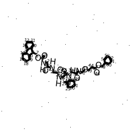 O=C(CNC(=O)OCC1c2ccccc2-c2ccccc21)NCC(=O)N[C@@H](Cc1ccccc1)C(=O)NCC(=O)NCOCCC(=O)OCc1ccccc1